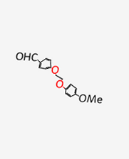 COc1ccc(OCCOc2ccc(C=O)cc2)cc1